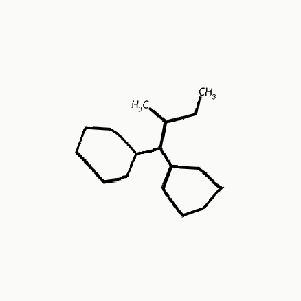 CCC(C)C(C1CCCCC1)C1CCCCC1